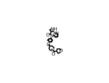 O=C(C1CCOCC1)N1CCC(Oc2ccc(N(C(=O)C3CNC3)c3cccnn3)cc2)CC1